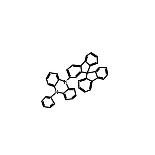 c1ccc(N2c3ccccc3N(c3ccc4c(c3)C3(c5ccccc5-c5ccccc53)c3ccccc3-4)c3ccccc32)cc1